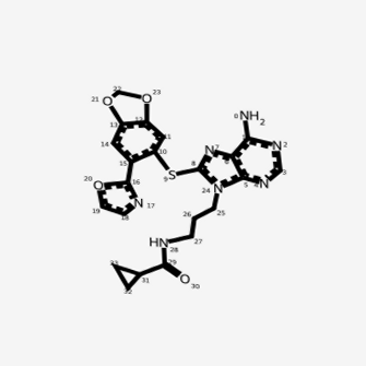 Nc1ncnc2c1nc(Sc1cc3c(cc1-c1ncco1)OCO3)n2CCCNC(=O)C1CC1